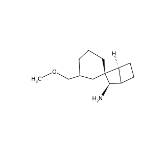 COCC1CCC[C@]2(C1)[C@H](N)C1CC[C@@H]12